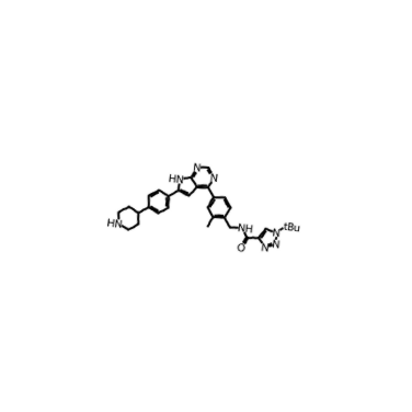 Cc1cc(-c2ncnc3[nH]c(-c4ccc(C5CCNCC5)cc4)cc23)ccc1CNC(=O)c1cn(C(C)(C)C)nn1